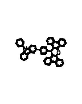 c1ccc(-n2c3ccccc3c3cc(-c4ccc(C5c6c(c7ccccc7c7ccccc67)Oc6c5c5ccccc5c5ccccc65)cc4)ccc32)cc1